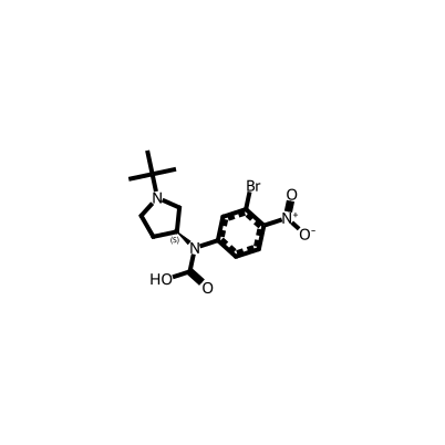 CC(C)(C)N1CC[C@H](N(C(=O)O)c2ccc([N+](=O)[O-])c(Br)c2)C1